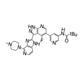 CN1CCN(c2nccc3[nH]c(-c4n[nH]c5ncc(-c6cncc(NC(=O)C(C)(C)C)c6)c(F)c45)nc23)CC1